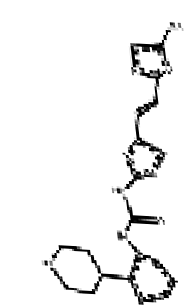 CC(C)(C)c1cnc(C=Cc2cnc(NC(=O)Nc3ccccc3C3CCNCC3)s2)o1